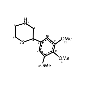 COc1cc(C2CNCCS2)cc(OC)c1OC